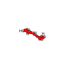 CCOc1cc2oc(-c3ccc(NCCOCCOCCOCCOc4cccc5c4C(=O)N(C4CCC(=O)NC4=O)C5=O)cc3Cl)cc(=O)c2cc1CN1CCC[C@@H]1CO